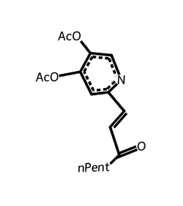 CCCCCC(=O)C=Cc1cc(OC(C)=O)c(OC(C)=O)cn1